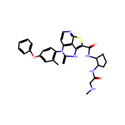 C=c1[nH]c2c(C(=O)NC3CCCC3NC(=O)CNC)sc3nccc(c32)n1-c1ccc(Oc2ccccc2)cc1C